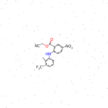 Cc1c(Nc2ccc([N+](=O)[O-])cc2C(=O)OCC#N)cccc1C(F)(F)F